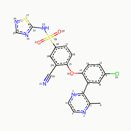 Cc1nccnc1-c1cc(Cl)ccc1Oc1ccc(S(=O)(=O)Nc2ncns2)cc1C#N